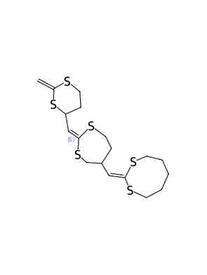 C=C1SCCC(/C=C2\SCCC(C=C3SCCCCCS3)CS2)S1